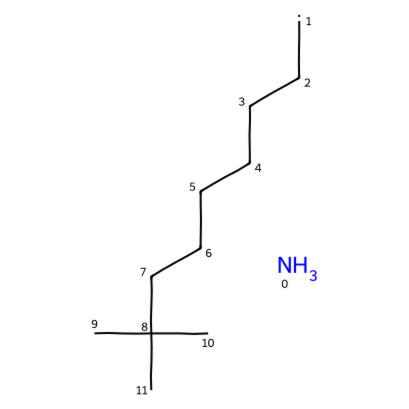 N.[CH2]CCCCCCC(C)(C)C